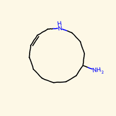 NC1CCCCCCC=CCNCCC1